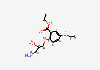 CCOC(=O)c1cc(OCC)ccc1OCC(O)CN